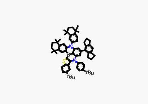 CC(C)(C)c1ccc(N2c3cc(-c4c5c(cc6c4CCC6)CCC5)cc4c3B(c3cc5c(cc3N4c3ccc4c(c3)C(C)(C)CCC4(C)C)C(C)(C)CCC5(C)C)c3sc4ccc(C(C)(C)C)cc4c32)cc1